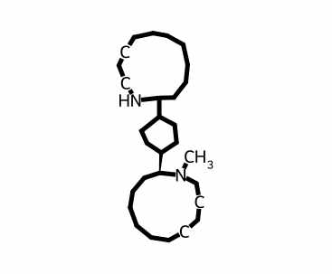 CN1CCCCCCCCCC[C@H]1C1CCC(C2CCCCCCCCCCN2)CC1